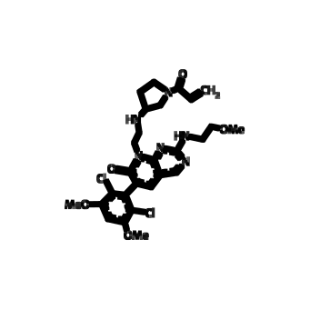 C=CC(=O)N1CCC(NCCn2c(=O)c(-c3c(Cl)c(OC)cc(OC)c3Cl)cc3cnc(NCCOC)nc32)C1